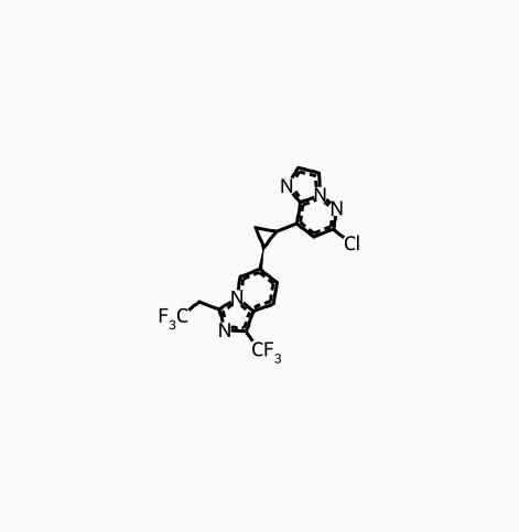 FC(F)(F)Cc1nc(C(F)(F)F)c2ccc([C@H]3CC3c3cc(Cl)nn4ccnc34)cn12